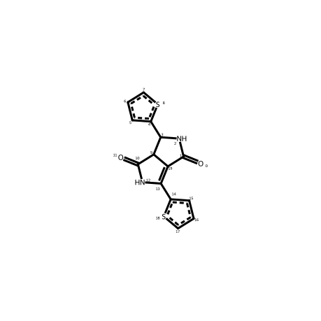 O=C1NC(c2cccs2)C2C(=O)NC(c3cccs3)=C12